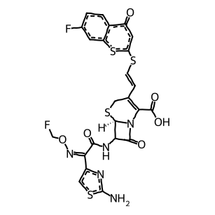 Nc1nc(/C(=N/OCF)C(=O)NC2C(=O)N3C(C(=O)O)=C(/C=C/Sc4cc(=O)c5ccc(F)cc5s4)CS[C@H]23)cs1